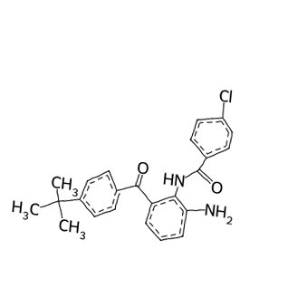 CC(C)(C)c1ccc(C(=O)c2cccc(N)c2NC(=O)c2ccc(Cl)cc2)cc1